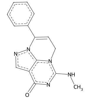 CNc1nc(=O)c2cnn3c2n1CC=C3c1ccccc1